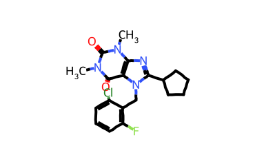 Cn1c(=O)c2c(nc(C3CCCC3)n2Cc2c(F)cccc2Cl)n(C)c1=O